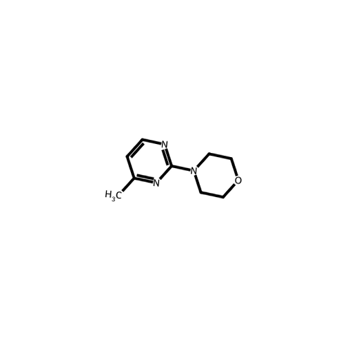 Cc1ccnc(N2CCOCC2)n1